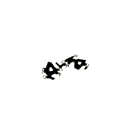 COc1ccc(-c2nc(C(C)Oc3ccc(F)c(C(C)=O)c3F)oc2Br)cc1